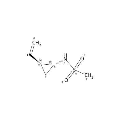 C=C[C@@H]1C[C@H]1NS(C)(=O)=O